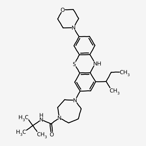 CCC(C)c1cc(N2CCCN(C(=O)NC(C)(C)C)CC2)cc2c1Nc1ccc(N3CCOCC3)cc1S2